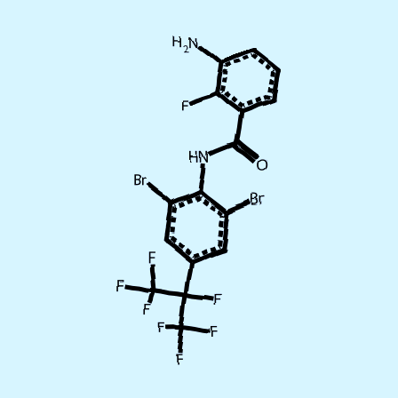 Nc1cccc(C(=O)Nc2c(Br)cc(C(F)(C(F)(F)F)C(F)(F)F)cc2Br)c1F